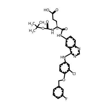 CC(C)(C)OC(=O)N[C@@H](CCC(=O)O)C(=O)Nc1ccc2ncnc(Nc3ccc(OCc4cccc(F)c4)c(Cl)c3)c2c1